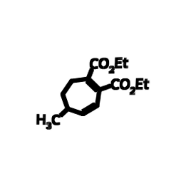 CCOC(=O)C1=C(C(=O)OCC)CCC(C)C=C1